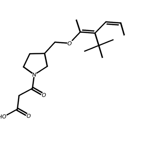 C/C=C\C(=C(/C)OCC1CCN(C(=O)CC(=O)O)C1)C(C)(C)C